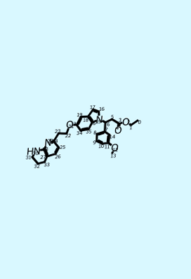 CCOC(=O)CC(c1cccc(OC)c1)n1ccc2cc(OCCc3ccc4c(n3)NCCC4)ccc21